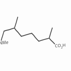 CNCC(C)CCCC(C)C(=O)O